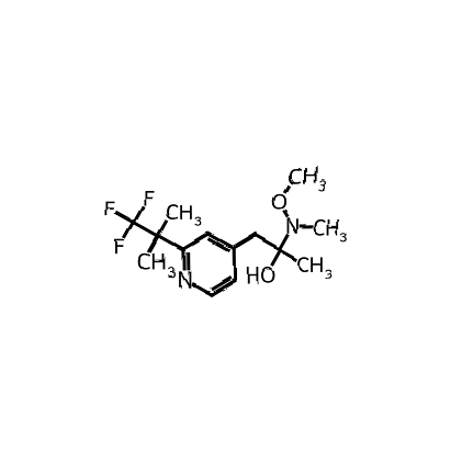 CON(C)C(C)(O)Cc1ccnc(C(C)(C)C(F)(F)F)c1